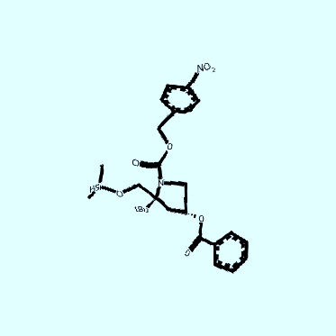 C[SiH](C)OC[C@@]1(C(C)(C)C)C[C@@H](OC(=O)c2ccccc2)CN1C(=O)OCc1ccc([N+](=O)[O-])cc1